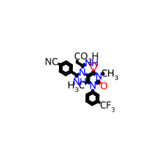 Cc1c(N(C(=N)CC(=O)O)C(=N)c2ccc(C#N)cc2)c(=O)n(C)c(=O)n1-c1cccc(C(F)(F)F)c1